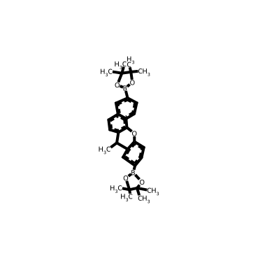 CC1c2cc(B3OC(C)(C)C(C)(C)O3)ccc2Oc2c1ccc1cc(B3OC(C)(C)C(C)(C)O3)ccc21